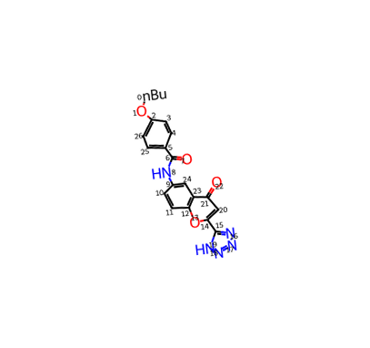 CCCCOc1ccc(C(=O)Nc2ccc3oc(-c4nnn[nH]4)cc(=O)c3c2)cc1